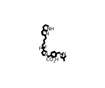 Cc1cnn(Cc2ccc(C(C(=O)O)N3CCC(C(F)(F)CCCCc4ccc5c(n4)NCCC5)C3)cc2)c1